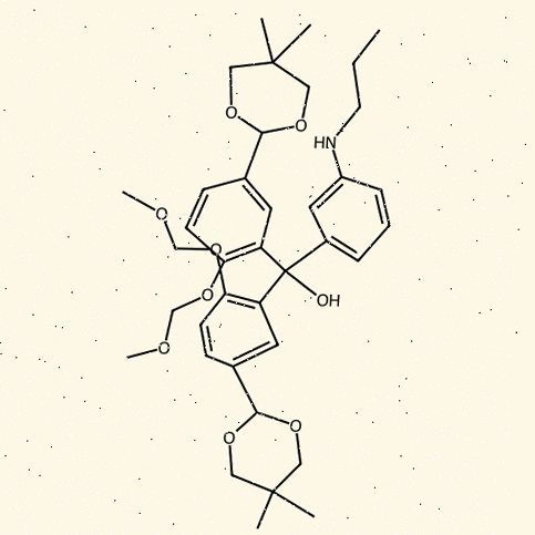 CCCNc1cccc(C(O)(c2cc(C3OCC(C)(C)CO3)ccc2OCOC)c2cc(C3OCC(C)(C)CO3)ccc2OCOC)c1